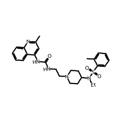 CCN(C1CCN(CCNC(=O)Nc2cc(C)nc3ccccc23)CC1)S(=O)(=O)c1ccccc1C